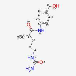 CCCCC(CCCNC(N)=O)C(=O)Nc1ccc(CO)cc1